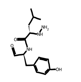 CC(C)C[C@H](NN)C(=O)N[C@H](C=O)Cc1ccc(O)cc1